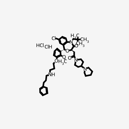 COc1c(OCCCNCCCc2ccccc2)cccc1[C@H]1O[C@H](CC(=O)N2CCC(N3CCCCC3)CC2)C(=O)N(CC(C)(C)C)c2ccc(Cl)cc21.Cl.Cl